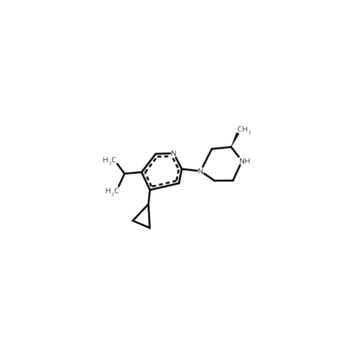 CC(C)c1cnc(N2CCN[C@H](C)C2)cc1C1CC1